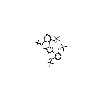 Cc1cc(-c2c(OC(C)(C)C)cccc2OC(C)(C)C)sc1-c1c(OC(C)(C)C)cccc1OC(C)(C)C